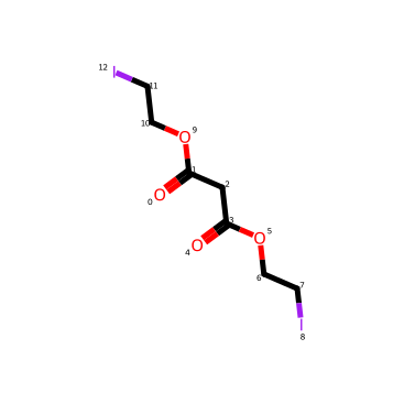 O=C(CC(=O)OCCI)OCCI